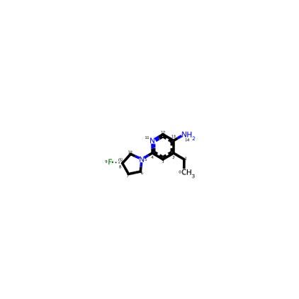 CCc1cc(N2CC[C@H](F)C2)ncc1N